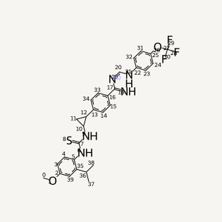 COc1ccc(NC(=S)NC2CC2c2ccc(C(=N)/N=C\Nc3ccc(OC(F)(F)F)cc3)cc2)c(C(C)C)c1